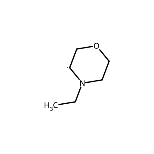 CCN1[CH]COCC1